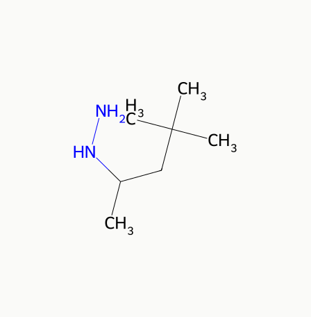 CC(CC(C)(C)C)NN